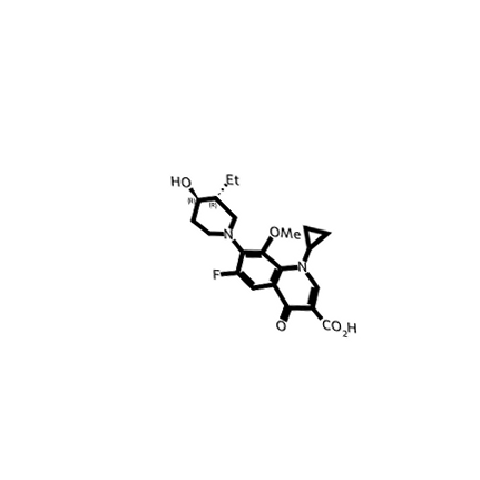 CC[C@@H]1CN(c2c(F)cc3c(=O)c(C(=O)O)cn(C4CC4)c3c2OC)CC[C@H]1O